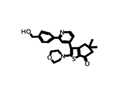 CC1(C)CC(=O)c2sc(N3CCOCC3)c(-c3ccnc(-c4ccc(CO)cc4)c3)c2C1